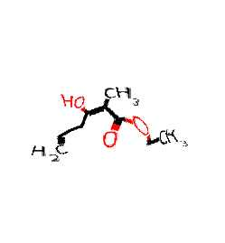 C=CCC(O)=C(C)C(=O)OCC